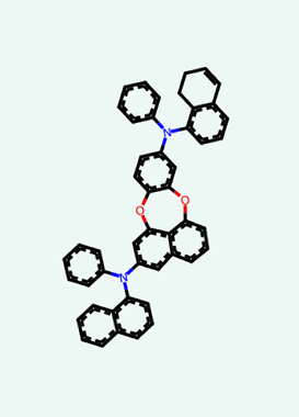 C1=Cc2cccc(N(c3ccccc3)c3ccc4c(c3)Oc3cccc5cc(N(c6ccccc6)c6cccc7ccccc67)cc(c35)O4)c2CC1